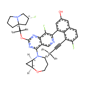 [2H]C([2H])(Oc1nc(N2CCCO[C@H]3C[C@H]32)c2cnc(-c3cc(O)cc4ccc(F)c(C#C[Si](C(C)C)(C(C)C)C(C)C)c34)c(F)c2n1)[C@@]12CCCN1C[C@H](F)C2